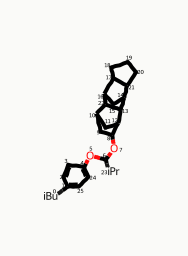 CCC(C)c1ccc(OC(OC2CC3CC2C2C4CC(C5CCCC54)C32)C(C)C)cc1